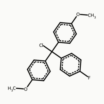 COc1ccc(C(Cl)(c2ccc(F)cc2)c2ccc(OC)cc2)cc1